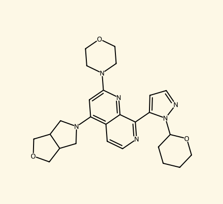 c1cc2c(N3CC4COCC4C3)cc(N3CCOCC3)nc2c(-c2ccnn2C2CCCCO2)n1